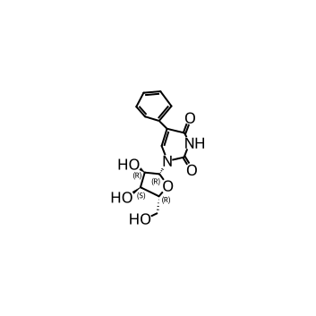 O=c1[nH]c(=O)n([C@@H]2O[C@H](CO)[C@@H](O)[C@H]2O)cc1-c1ccccc1